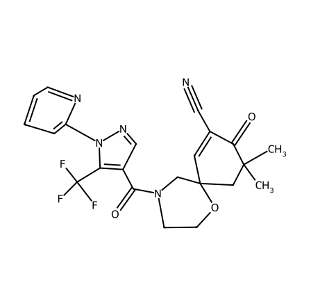 CC1(C)CC2(C=C(C#N)C1=O)CN(C(=O)c1cnn(-c3ccccn3)c1C(F)(F)F)CCO2